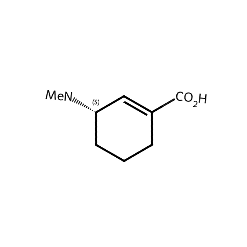 CN[C@@H]1C=C(C(=O)O)CCC1